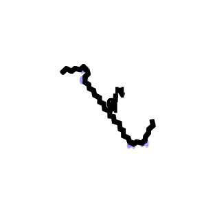 CCCCC/C=C\C/C=C\CCCCCCCCC(CCCCCCCC/C=C\C/C=C\CCCCC)=NOCCN(C)C